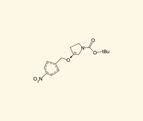 CC(C)(C)OC(=O)N1CC[C@H](OCc2ccc([N+](=O)[O-])cc2)C1